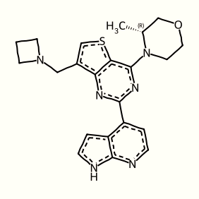 C[C@@H]1COCCN1c1nc(-c2ccnc3[nH]ccc23)nc2c(CN3CCC3)csc12